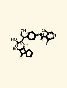 CCC(c1ccc(NC(=O)c2c(Cl)cncc2Cl)cc1)[C@H](NC1=C(Br)C(=O)C12CC=CC2)C(=O)O